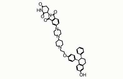 O=C1CCC(N2C(=O)c3ccc(N4CCN(C5CCN(CCOc6ccc([C@@H]7c8ccc(O)cc8CC[C@@H]7c7ccccc7)cc6)CC5)CC4)cc3C2=O)C(=O)N1